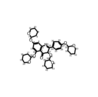 O=C1c2c(cc(OC3CCCCO3)cc2OC2CCCCO2)N=C(c2ccc(OC3CCCCO3)cc2)C1OC1CCCCO1